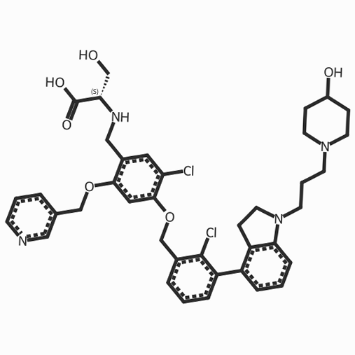 O=C(O)[C@H](CO)NCc1cc(Cl)c(OCc2cccc(-c3cccc4c3CCN4CCCN3CCC(O)CC3)c2Cl)cc1OCc1cccnc1